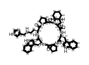 O=C1NC2(CCCC2)C(=O)N[C@@H](Cc2c[nH]c3ccccc23)C(=O)N[C@@H](CCNCc2c[nH]cn2)C(=O)N2CCC[C@@H]2C(=O)N2[C@@H](C[C@@H]3CCCC[C@@H]32)C(=O)N[C@H]1Cc1c[nH]c2ccccc12